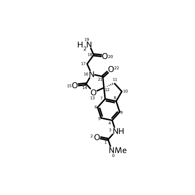 CNC(=O)Nc1ccc2c(c1)CC[C@@]21OC(=O)N(CC(N)=O)C1=O